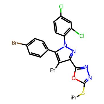 CCc1c(-c2nnc(SC(C)C)o2)nn(-c2ccc(Cl)cc2Cl)c1-c1ccc(Br)cc1